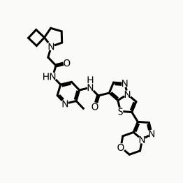 Cc1ncc(NC(=O)CN2CCCC23CCC3)cc1NC(=O)c1cnn2cc(-c3cnn4c3COCC4)sc12